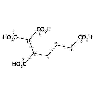 O=C(O)CCCC(C(=O)O)C(C(=O)O)C(=O)O